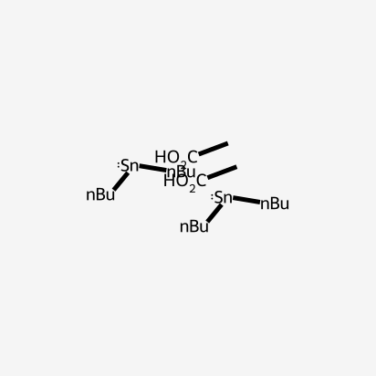 CC(=O)O.CC(=O)O.CCC[CH2][Sn][CH2]CCC.CCC[CH2][Sn][CH2]CCC